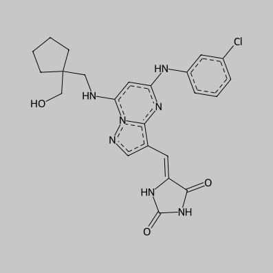 O=C1NC(=O)/C(=C/c2cnn3c(NCC4(CO)CCCC4)cc(Nc4cccc(Cl)c4)nc23)N1